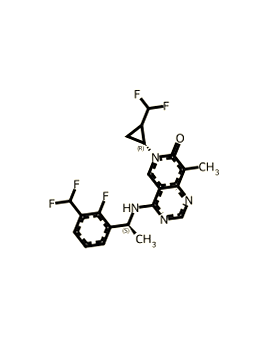 Cc1c(=O)n([C@@H]2CC2C(F)F)cc2c(N[C@@H](C)c3cccc(C(F)F)c3F)ncnc12